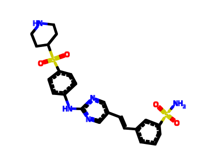 NS(=O)(=O)c1cccc(/C=C/c2cnc(Nc3ccc(S(=O)(=O)C4CCNCC4)cc3)nc2)c1